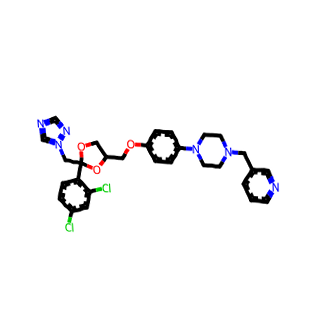 Clc1ccc(C2(Cn3cncn3)OCC(COc3ccc(N4CCN(Cc5cccnc5)CC4)cc3)O2)c(Cl)c1